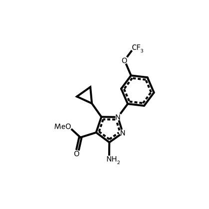 COC(=O)c1c(N)nn(-c2cccc(OC(F)(F)F)c2)c1C1CC1